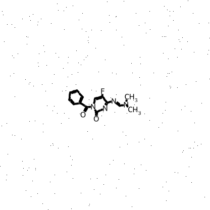 CN(C)/C=N/c1nc(=O)n(C(=O)c2ccccc2)cc1F